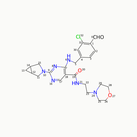 O=Cc1ccc(CNc2nc(N3CC4CC4C3)ncc2C(=O)NCCN2CCOCC2)cc1Cl